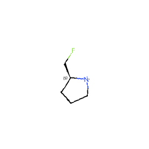 FC[C@@H]1CCC[N]1